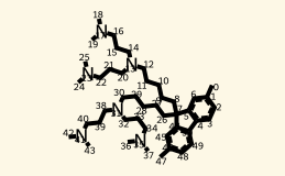 Cc1ccc2c(c1)C(CCCCCN(CCCN(C)C)CCCN(C)C)(CCCCCN(CCCN(C)C)CCCN(C)C)c1cc(C)ccc1-2